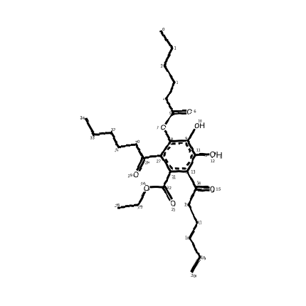 CCCCCC(=O)Oc1c(O)c(O)c(C(=O)CCCCC)c(C(=O)OCC)c1C(=O)CCCCC